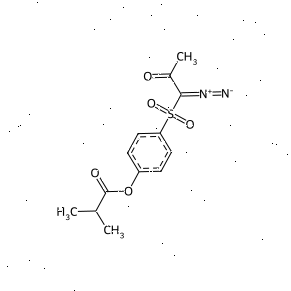 CC(=O)C(=[N+]=[N-])S(=O)(=O)c1ccc(OC(=O)C(C)C)cc1